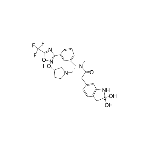 CN(C(=O)Cc1ccc2c(c1)NS(O)(O)C2)[C@H](CN1CC[C@H](O)C1)c1cccc(-c2noc(C(F)(F)F)n2)c1